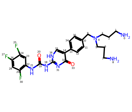 NCCCN(CCCN)Cc1ccc(-c2c[nH]c(NC(=O)Nc3cc(F)c(F)cc3F)nc2=O)cc1